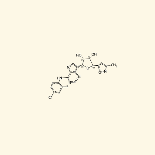 Cc1cc([C@H]2O[C@@H](n3cnc4c(Nc5ccc(Cl)cc5F)ncnc43)[C@H](O)[C@@H]2O)on1